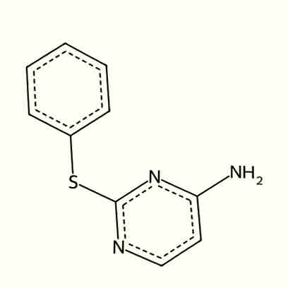 Nc1ccnc(Sc2ccccc2)n1